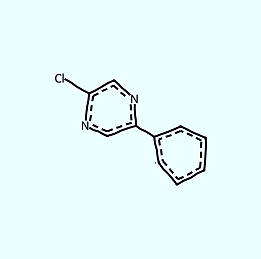 Clc1cnc(-c2[c]cccc2)cn1